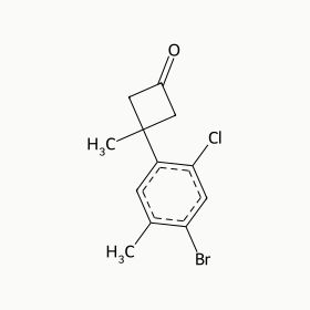 Cc1cc(C2(C)CC(=O)C2)c(Cl)cc1Br